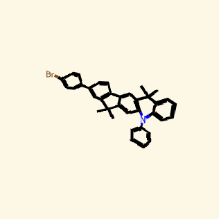 CC1(C)c2cc(-c3ccc(Br)cc3)ccc2-c2cc3c(cc21)N(c1ccccc1)c1ccccc1C3(C)C